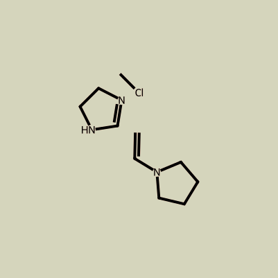 C1=NCCN1.C=CN1CCCC1.CCl